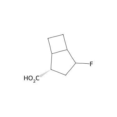 O=C(O)[C@H]1CC(F)C2CCC21